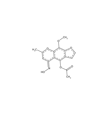 COc1c2occc2c(OC(C)=O)c2c(=NO)cc(C)oc12